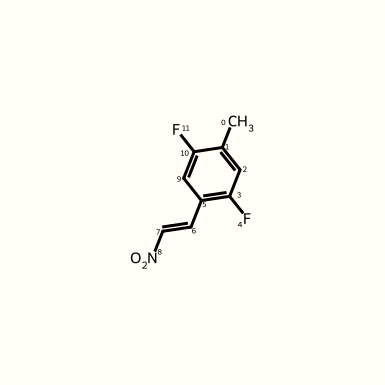 Cc1cc(F)c(/C=C/[N+](=O)[O-])cc1F